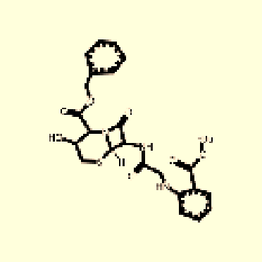 CC(C)(C)OC(=O)c1ccccc1NCC(=O)N[C@@H]1C(=O)N2C(C(=O)OCc3ccccc3)C(O)CS[C@H]12